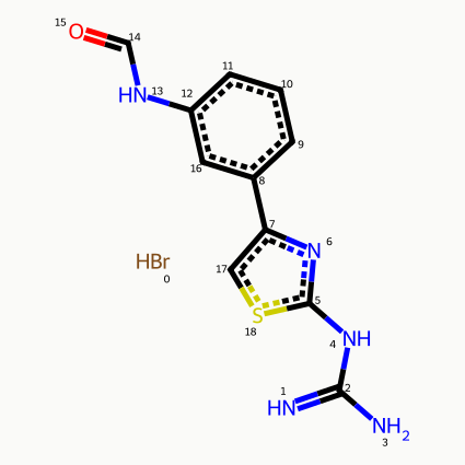 Br.N=C(N)Nc1nc(-c2cccc(NC=O)c2)cs1